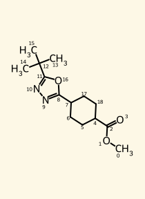 COC(=O)C1CCC(c2nnc(C(C)(C)C)o2)CC1